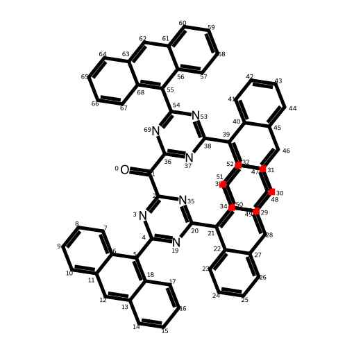 O=C(c1nc(-c2c3ccccc3cc3ccccc23)nc(-c2c3ccccc3cc3ccccc23)n1)c1nc(-c2c3ccccc3cc3ccccc23)nc(-c2c3ccccc3cc3ccccc23)n1